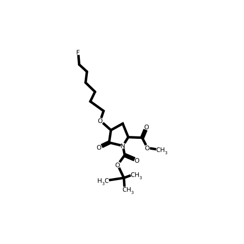 COC(=O)C1CC(OCCCCCCF)C(=O)N1C(=O)OC(C)(C)C